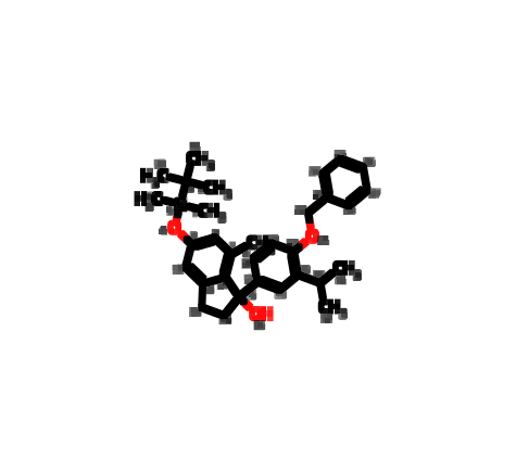 Cc1cc(O[Si](C)(C)C(C)(C)C)cc2c1C(O)(c1ccc(OCc3ccccc3)c(C(C)C)c1)CC2